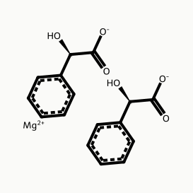 O=C([O-])[C@H](O)c1ccccc1.O=C([O-])[C@H](O)c1ccccc1.[Mg+2]